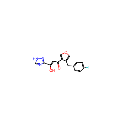 O=C(C=C(O)c1nc[nH]n1)c1cocc1Cc1ccc(F)cc1